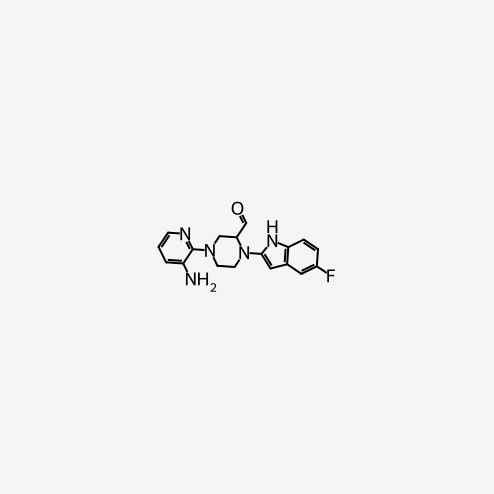 Nc1cccnc1N1CCN(c2cc3cc(F)ccc3[nH]2)C(C=O)C1